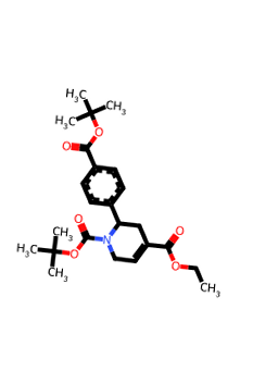 CCOC(=O)C1=CCN(C(=O)OC(C)(C)C)C(c2ccc(C(=O)OC(C)(C)C)cc2)C1